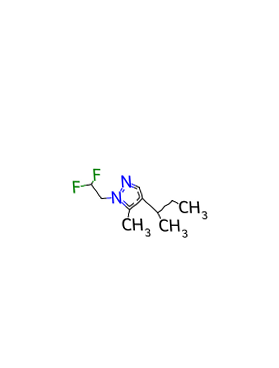 CCC(C)c1cnn(CC(F)F)c1C